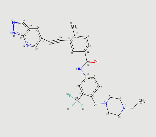 [CH2]CN1CCN(Cc2ccc(NC(=O)c3ccc(C)c(C#Cc4cnc5[nH]ncc5c4)c3)cc2C(F)(F)F)CC1